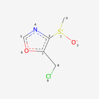 C[S+]([O-])c1ncoc1CCl